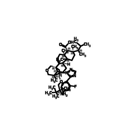 CC(C)[C@@H](C)[C@@]1(C)CC[C@]2(C)[C@H]3CC[C@@H]4[C@@]5(COC[C@@]4(C)[C@@H](OC[C@](C)(N)C(C)(C)C)[C@H](n4ncnc4-c4ccncc4F)C5)C3=CC[C@@]2(C)[C@@H]1C(=O)O